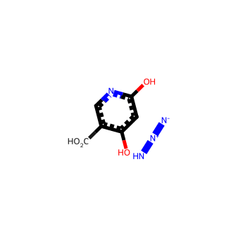 O=C(O)c1cnc(O)cc1O.[N-]=[N+]=N